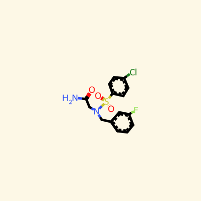 NC(=O)CN(Cc1cccc(F)c1)S(=O)(=O)c1ccc(Cl)cc1